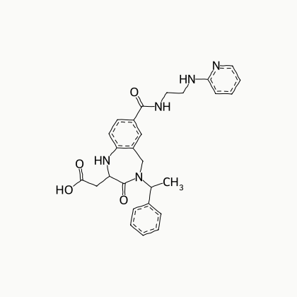 CC(c1ccccc1)N1Cc2cc(C(=O)NCCNc3ccccn3)ccc2NC(CC(=O)O)C1=O